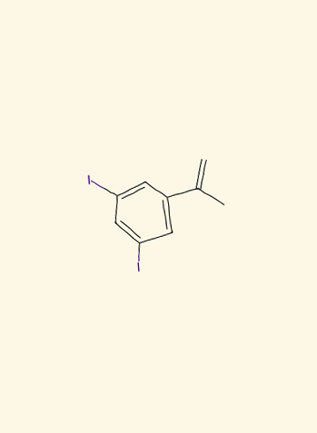 C=C(C)c1cc(I)cc(I)c1